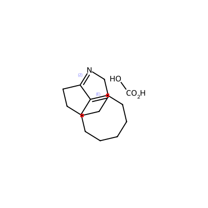 C1=C(/C2=N\CCCCCC2)CCCCCC/1.O=C(O)O